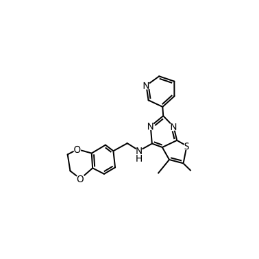 Cc1sc2nc(-c3cccnc3)nc(NCc3ccc4c(c3)OCCO4)c2c1C